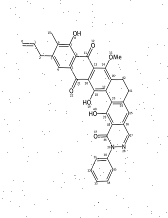 C=CCc1cc2c(c(O)c1C)C(=O)c1c(OC)c3c(c(O)c1C2=O)-c1c(cc2cnn(-c4ccccc4)c(=O)c2c1O)CC3